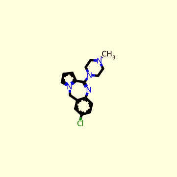 CN1CCN(C2=Nc3ccc(Cl)cc3Cn3cccc32)CC1